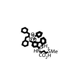 CSCC[C@H](NC(=O)c1ccc(CN(C(CC2CCCCC2)CC2CCCCC2)S(=O)(=O)c2ccccc2)cc1-c1ccccc1C)C(=O)O